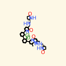 COc1nc(-c2cccc(-c3cccc(-c4cc(C)c5nc(CNC[C@H]6CCC(=O)N6)cc(=O)n5c4)c3Cl)c2Cl)ccc1CNC[C@@H]1CCC(=O)N1